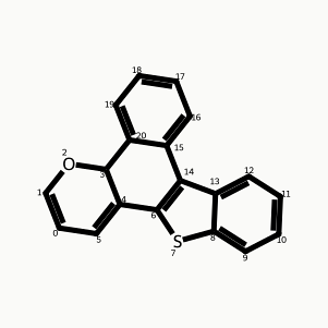 C1=COC2C(=C1)c1sc3ccccc3c1-c1ccccc12